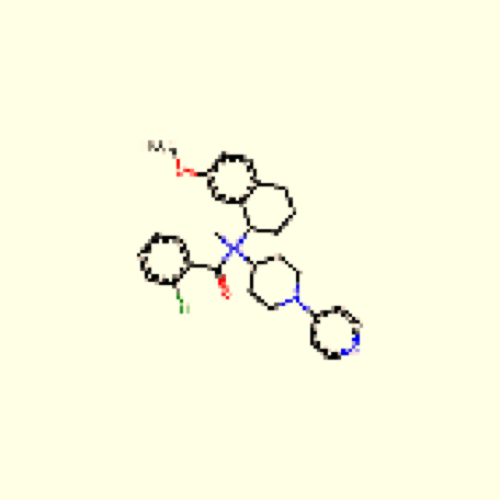 C[N+](C(=O)c1ccccc1Cl)(C1CCN(c2ccncc2)CC1)[C@@H]1CCCc2ccc(OC(=O)O)cc21